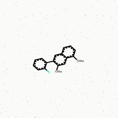 COc1cc2c(OC)cccc2cc1-c1ccccc1F